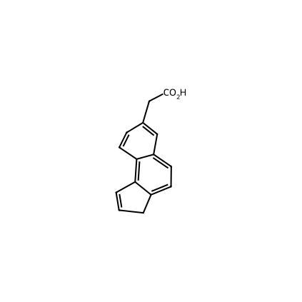 O=C(O)Cc1ccc2c3c(ccc2c1)CC=C3